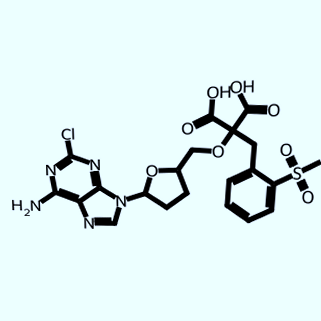 CS(=O)(=O)c1ccccc1CC(OCC1CCC(n2cnc3c(N)nc(Cl)nc32)O1)(C(=O)O)C(=O)O